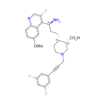 COc1ccc2ncc(F)c([C@@H](N)CC[C@H]3CCN(CC#Cc4cc(F)cc(F)c4)C[C@H]3C(=O)O)c2c1